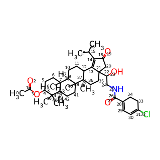 CC(=O)OC1CCC2(C)[C@H]3CCC4C5=C(C(C)C)C(=O)CC5(C(O)CNC(=O)C5=CC=C(Cl)CC5)CC[C@@]4(C)C3(C)CC[C@H]2C1(C)C